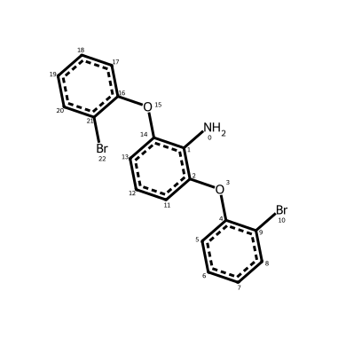 Nc1c(Oc2ccccc2Br)cccc1Oc1ccccc1Br